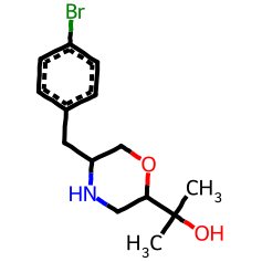 CC(C)(O)C1CNC(Cc2ccc(Br)cc2)CO1